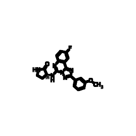 COc1cccc(-c2nc3c4cc(F)ccc4nc(N[C@@H]4CCNC4=O)n3n2)c1